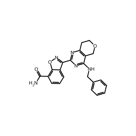 NC(=O)c1cccc2c(-c3nc4c(c(NCc5ccccc5)n3)COCC4)noc12